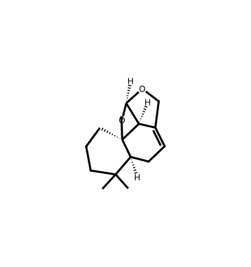 CC1(C)CCC[C@@]23CO[C@H]4OCC(=CC[C@@H]12)[C@H]43